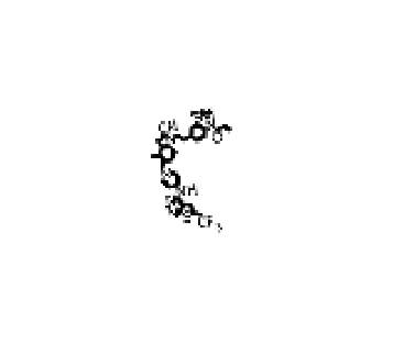 C=CC(=O)Nc1ccc(CCn2c(C#N)cc3c(C)c(CN4CCC(Nc5ncnc6sc(CC(F)(F)F)cc56)CC4)ccc32)cc1[S+](C)[O-]